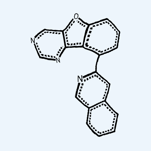 c1ccc2cc(-c3cccc4oc5cncnc5c34)ncc2c1